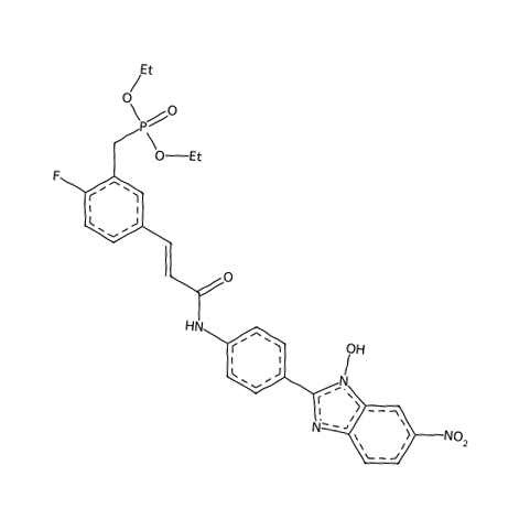 CCOP(=O)(Cc1cc(/C=C/C(=O)Nc2ccc(-c3nc4ccc([N+](=O)[O-])cc4n3O)cc2)ccc1F)OCC